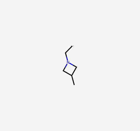 [CH2]CN1CC(C)C1